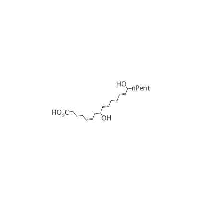 CCCCC[C@H](O)/C=C/C=C/C=C/[C@@H](O)C/C=C\CCCC(=O)O